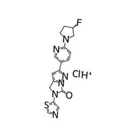 O=C1N(c2cncs2)Cc2cc(-c3ccc(N4CC[C@@H](F)C4)nc3)nn21.[Cl-].[H+]